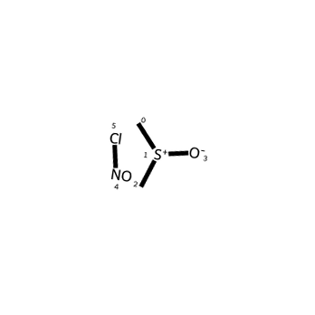 C[S+](C)[O-].O=NCl